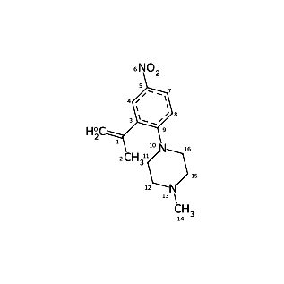 C=C(C)c1cc([N+](=O)[O-])ccc1N1CCN(C)CC1